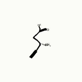 C#C[C@@H](N)CC(=O)O